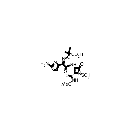 CONC(=O)[C@@H]1[C@H](NC(=O)C(=NOC(C)(C)C(=O)O)c2csc(N)n2)C(=O)N1S(=O)(=O)O